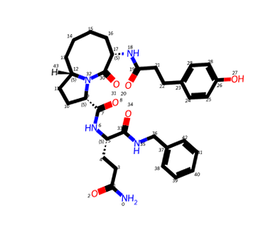 NC(=O)CC[C@H](NC(=O)[C@@H]1CC[C@@H]2CCCC[C@H](NC(=O)CCc3ccc(O)cc3)C(=O)N21)C(=O)NCc1ccccc1